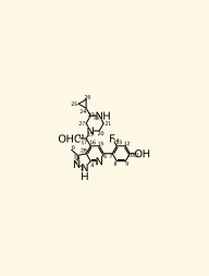 Cc1n[nH]c2nc(-c3ccc(O)cc3F)cc(C(C=O)N3CCNC(C4CC4)C3)c12